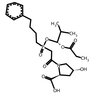 CCC(=O)O[C@H](OP(=O)(CCCCc1ccccc1)CC(=O)N1C[C@H](O)C[C@H]1C(=O)O)C(C)C